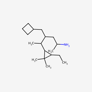 CCC1C(C(C)C(CC(C)N)CC2CCC2)C1(C)C